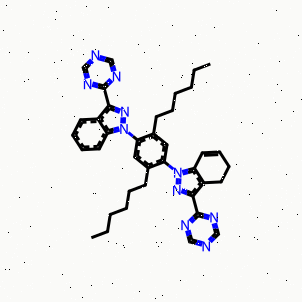 CCCCCCc1cc(-n2nc(-c3ncncn3)c3ccccc32)c(CCCCCC)cc1-n1nc(-c2ncncn2)c2c1C=CCC2